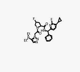 CCN(CC)c1cnnn1CC(=O)N1CC(F)CC1C(=O)NC(c1ccccc1)c1ccc(C2CC2)c(F)n1